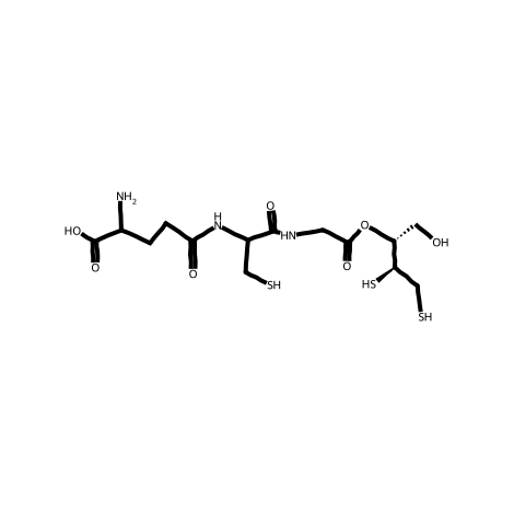 NC(CCC(=O)NC(CS)C(=O)NCC(=O)O[C@H](CO)[C@H](S)CS)C(=O)O